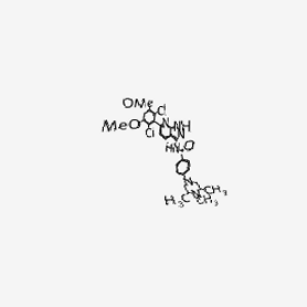 COc1cc(OC)c(Cl)c(-c2ccc3c(NC(=O)c4ccc(N5CC(C)N(C)C(C)C5)cc4)n[nH]c3n2)c1Cl